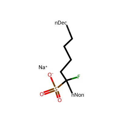 CCCCCCCCCCCCCCC(F)(CCCCCCCCC)S(=O)(=O)[O-].[Na+]